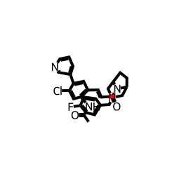 CC(=O)Nc1cc(Cl)c(-c2cccnc2)cc1/C=C/C(=O)N1C2CCC1CN(Cc1ccc(F)cc1)C2